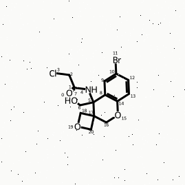 O=C(CCl)NC1(CO)c2cc(Br)ccc2OCC12COC2